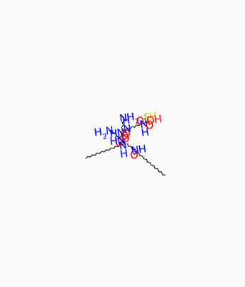 CCCCCCCCCCCCCCCC(=O)NCCCC[C@H](NC(=O)CCCCCCCCCCCCCCC)C(=O)N[C@@H](CCCCN)C(=O)N[C@@H](CCCCN)C(=O)NCCCCCC(=O)N[C@@H](CS)C(=O)O